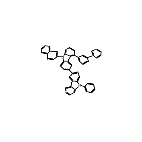 c1ccc(-c2cccc(-c3cccc4c3c3cc(-c5ccc6c(c5)c5ccccc5n6-c5ccccc5)ccc3n4-c3ccc4ccccc4c3)c2)cc1